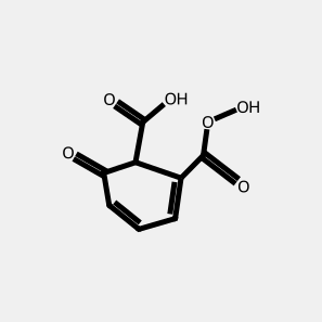 O=C(OO)C1=CC=CC(=O)C1C(=O)O